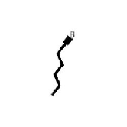 B#CCCCCC